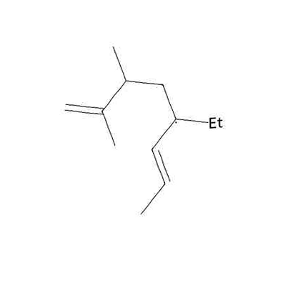 C=C(C)C(C)C[C](C=CC)CC